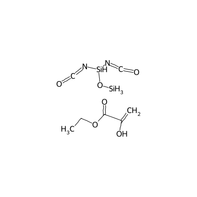 C=C(O)C(=O)OCC.O=C=N[SiH](N=C=O)O[SiH3]